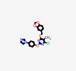 Cc1c(Cl)nc(Oc2ccc(-n3ccnc3)cc2)nc1SCc1ccc2c(c1)OCO2